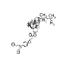 CC(C)CCCC(C)[C@H]1CC[C@H]2[C@@H]3NC(=O)C=C4C[C@@H](OC(=O)CCOc5ccc(N(CCCl)CCCl)cc5)CC[C@]4(C)[C@H]3CC[C@]12C